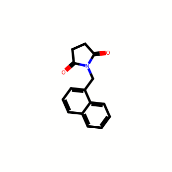 O=C1CCC(=O)N1Cc1cccc2ccccc12